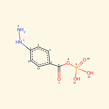 NNc1ccc(C(=O)OP(=O)(O)O)cc1